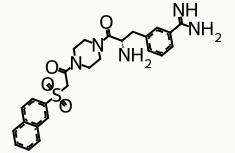 N=C(N)c1cccc(C[C@H](N)C(=O)N2CCN(C(=O)CS(=O)(=O)c3ccc4ccccc4c3)CC2)c1